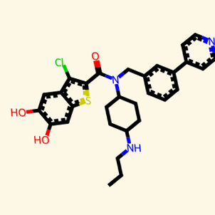 CCCNC1CCC(N(Cc2cccc(-c3ccncc3)c2)C(=O)c2sc3cc(O)c(O)cc3c2Cl)CC1